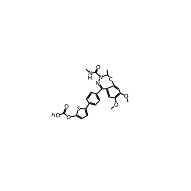 CNC(=O)N1N=C(c2ccc(-c3ccc(OC(=O)O)s3)cc2)c2cc(OC)c(OC)cc2CC1C